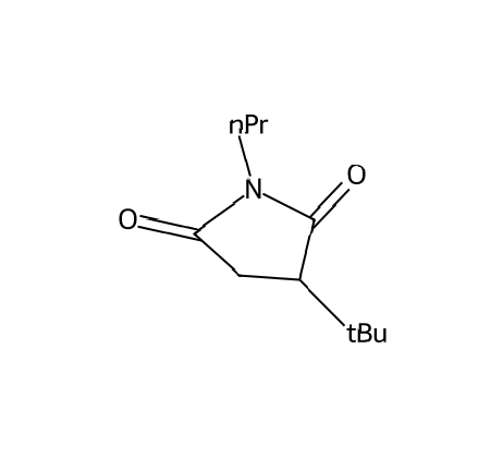 CCCN1C(=O)CC(C(C)(C)C)C1=O